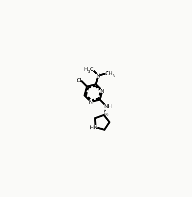 CN(C)c1nc(N[C@@H]2CCNC2)ncc1Cl